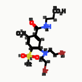 CCS(=O)(=O)c1cc([N+](=O)[O-])c(C(=O)NCCC(=O)O)cc1N(CCBr)CCBr